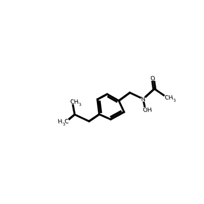 CC(=O)N(O)Cc1ccc(CC(C)C)cc1